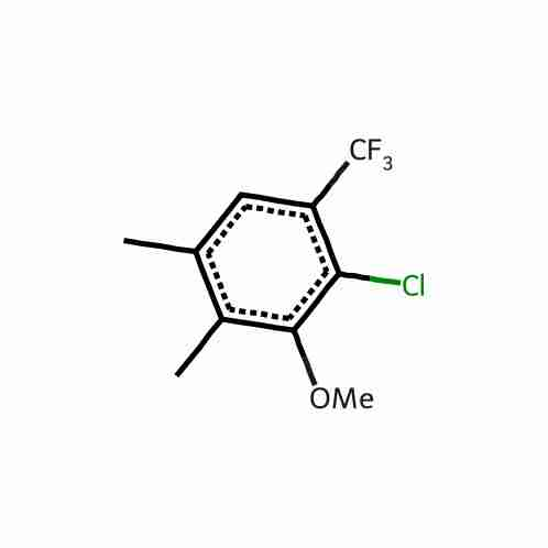 COc1c(C)c(C)cc(C(F)(F)F)c1Cl